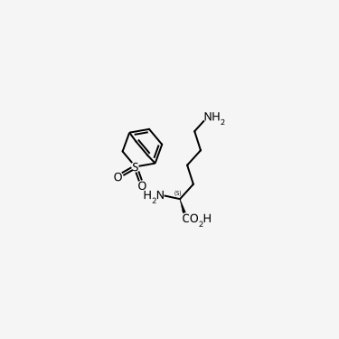 NCCCC[C@H](N)C(=O)O.O=S1(=O)Cc2ccc1cc2